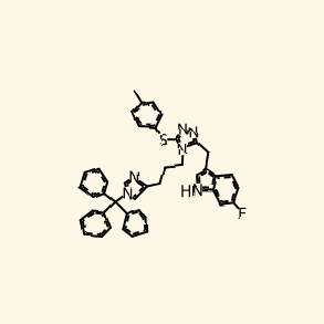 Cc1ccc(Sc2nnc(Cc3c[nH]c4cc(F)ccc34)n2CCCc2cn(C(c3ccccc3)(c3ccccc3)c3ccccc3)cn2)cc1